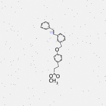 COC(=O)CCc1ccc(OCc2cccc(/C=C/c3ccccc3)c2)cc1